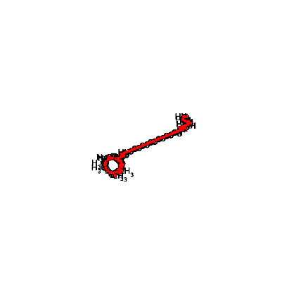 CO[C@H]1CC2CC[C@@H](C)C(O2)C(=O)C(=O)N2CCCC[C@H]2C(=O)O[C@H](CC[C@H]2CC[C@H](OC(=O)NCCOCCOCCOCCOCCOCCOCCOCCOCCOCCOCCOCCOCCC(=O)N3CCc4cc(CNc5ncnc(N)c5C(=N)c5cnc6[nH]ccc6c5)ccc4C3)CC2)CC(=O)[C@H](C)/C=C(\C)[C@@H](O)CC(=O)[C@H](C)C[C@H](C)/C=C/C=C/C=C/1C